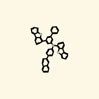 c1ccc(-c2cc(-c3cccc4c3oc3ccccc34)cc(N(c3ccc(-c4ccc5ccccc5c4)cc3)c3cccc4c3oc3ccccc34)c2)cc1